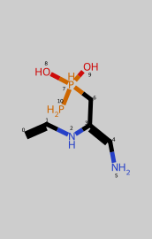 C=CN/C(=C\N)C[PH](O)(O)P